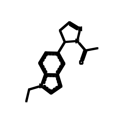 CCn1ccc2cc(C3CC=NN3C(C)=O)ccc21